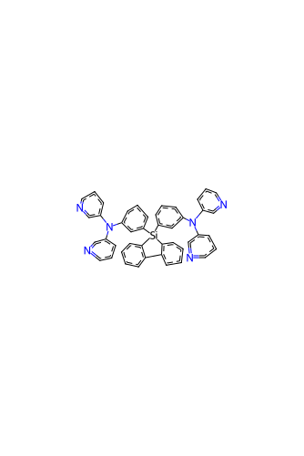 c1cncc(N(c2cccnc2)c2cccc([Si]3(c4cccc(N(c5cccnc5)c5cccnc5)c4)c4ccccc4-c4ccccc43)c2)c1